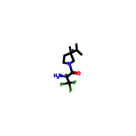 CC(C)[C@@]1(C)CCN(C(=O)[C@H](N)C(F)(F)F)C1